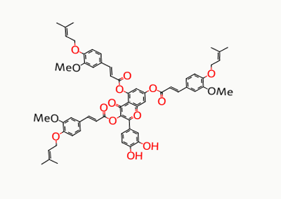 COc1cc(C=CC(=O)Oc2cc(OC(=O)C=Cc3ccc(OCC=C(C)C)c(OC)c3)c3c(=O)c(OC(=O)C=Cc4ccc(OCC=C(C)C)c(OC)c4)c(-c4ccc(O)c(O)c4)oc3c2)ccc1OCC=C(C)C